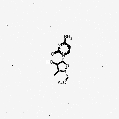 CC(=O)OC[C@H]1O[C@@H](n2ccc(N)nc2=O)C(O)C1C